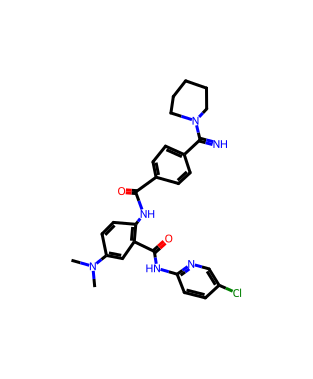 CN(C)c1ccc(NC(=O)c2ccc(C(=N)N3CCCCC3)cc2)c(C(=O)Nc2ccc(Cl)cn2)c1